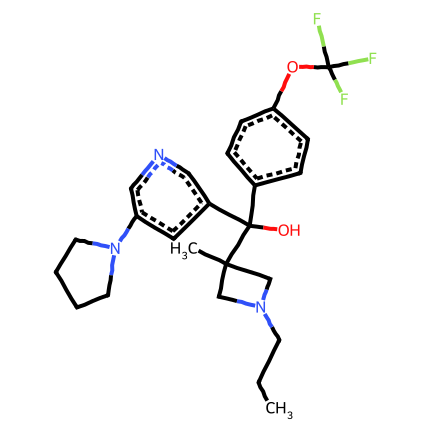 CCCN1CC(C)(C(O)(c2ccc(OC(F)(F)F)cc2)c2cncc(N3CCCC3)c2)C1